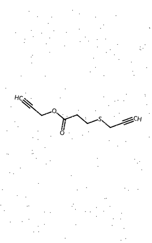 C#CCOC(=O)CCSCC#C